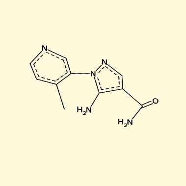 Cc1ccncc1-n1ncc(C(N)=O)c1N